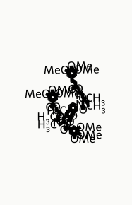 COc1cc(C=CC(=O)OCCOC(C)N(C)C(=O)Nc2ccc3c(C)c(CC(CN(C)C(C)OCCOC(=O)c4cc(OC)c(OC)c(OC)c4)OC(=O)c4cc(OC)c(OC)c(OC)c4)c(=O)oc3c2)cc(OC)c1OC